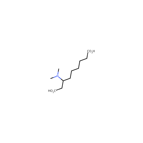 CN(C)C(CCCCCC(=O)O)CC(=O)O